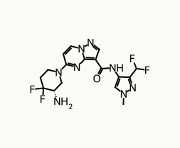 Cn1cc(NC(=O)c2cnn3ccc(N4CCC(F)(F)[C@@H](N)C4)nc23)c(C(F)F)n1